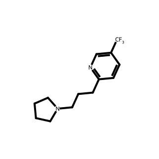 FC(F)(F)c1ccc(CCCN2CCCC2)nc1